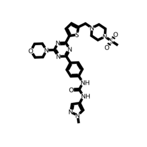 Cn1cc(NC(=O)Nc2ccc(-c3nc(-c4ccc(CN5CCN(S(C)(=O)=O)CC5)s4)nc(N4CCOCC4)n3)cc2)cn1